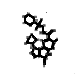 Cc1cc2[nH]c(=O)c3cnn(C4CCCC4)c3c2cc1C(=O)NCC(C)(C)N1CCCCC1